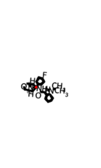 CC(C)n1nc(C(=O)N[C@H]2C[C@H]3COC[C@@H](C2)N3Cc2ccc(F)cc2)c2ccccc21